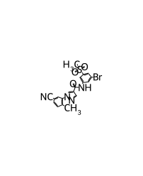 Cc1ccc(C#N)cc1-n1cc(C(=O)Nc2cc(Br)cc(S(C)(=O)=O)c2)cn1